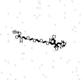 Cn1cnnc1CC1(c2cc(Cl)nc(OCCOCCOCCOCCNC(=O)OC(C)(C)C)c2)COC1